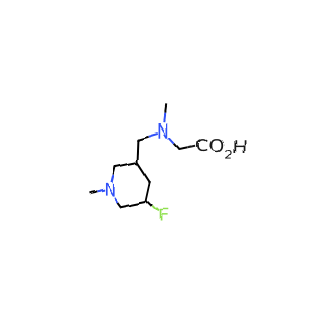 CN(CC(=O)O)CC1CC(F)CN(C)C1